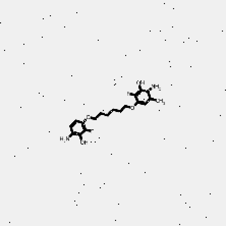 CC1C=C(OCCCCCCOc2ccc(N)c(O)c2F)C(F)=C(O)C1N